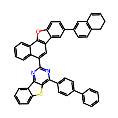 C1=Cc2cc(-c3ccc4oc5c6ccccc6c(-c6nc(-c7ccc(-c8ccccc8)cc7)c7sc8ccccc8c7n6)cc5c4c3)ccc2CC1